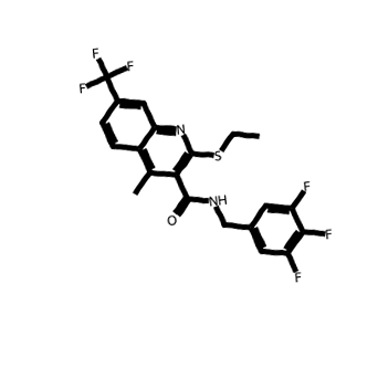 CCSc1nc2cc(C(F)(F)F)ccc2c(C)c1C(=O)NCc1cc(F)c(F)c(F)c1